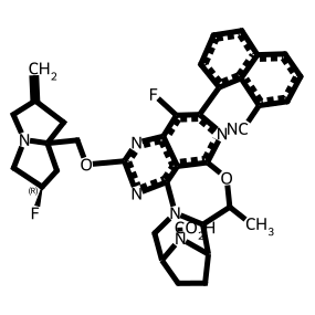 C=C1CN2C[C@H](F)CC2(COc2nc3c4c(nc(-c5cccc6cccc(C#N)c56)c(F)c4n2)OC(C)C2C4CCC(CN32)N4C(=O)O)C1